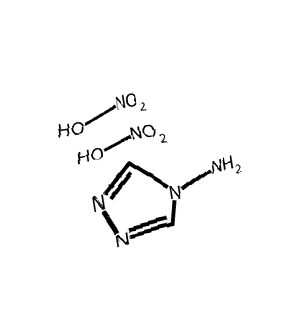 Nn1cnnc1.O=[N+]([O-])O.O=[N+]([O-])O